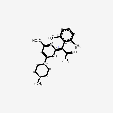 CC(=N)/C(=C1/N=C(C(=O)O)C=C(N2CCN(C)CC2)N1)c1c(C)cccc1C